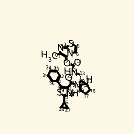 Cc1nc2sccn2c1OC(=O)NC[C@@H]1[C@H]2CC[C@H](C2)N1C(=O)c1nc(C2CC2)sc1-c1ccccc1